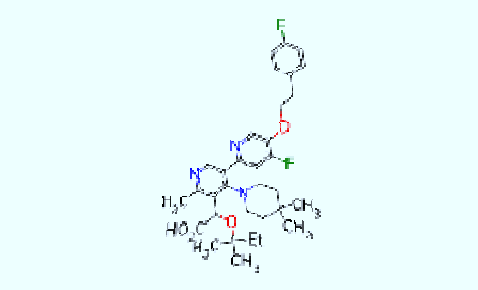 CCC(C)(C)OC(C(=O)O)c1c(C)ncc(-c2cc(F)c(OCCc3ccc(F)cc3)cn2)c1N1CCC(C)(C)CC1